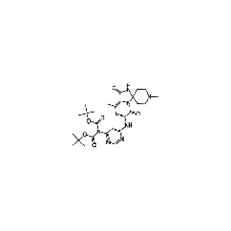 Cc1cc(Nc2cc(N(C(=O)OC(C)(C)C)C(=O)OC(C)(C)C)ncn2)c(=O)n2c1C(=O)NC21CCN(C)CC1